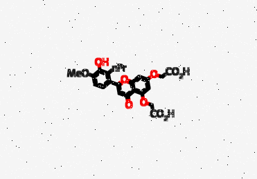 CCCc1c(-c2cc(=O)c3c(OCC(=O)O)cc(OCC(=O)O)cc3o2)ccc(OC)c1O